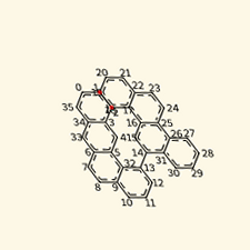 c1ccc2cc3c(ccc4cccc(-c5cc6c7ccccc7ccc6c6ccccc56)c43)cc2c1